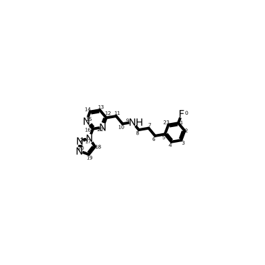 Fc1cccc(CCCNCCc2ccnc(-n3ccnn3)n2)c1